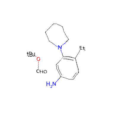 CC(C)(C)OC=O.CCc1ccc(N)cc1N1CCCCC1